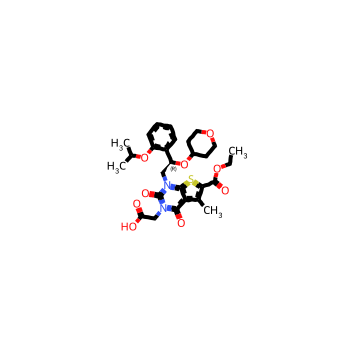 CCOC(=O)c1sc2c(c1C)c(=O)n(CC(=O)O)c(=O)n2C[C@H](OC1CCOCC1)c1ccccc1OC(C)C